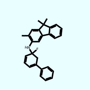 Cc1cc2c(cc1NC1(F)C=CC=C(c3ccccc3)C1)-c1ccccc1C2(C)C